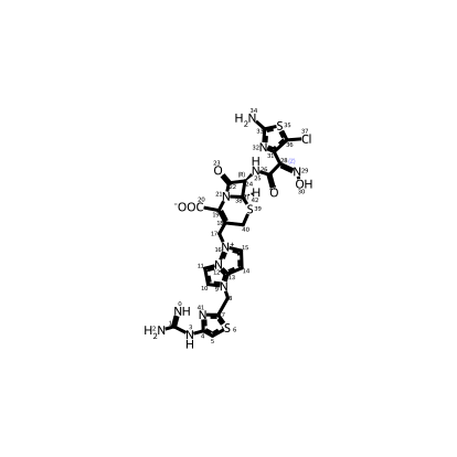 N=C(N)Nc1csc(Cn2ccn3c2cc[n+]3CC2=C(C(=O)[O-])N3C(=O)[C@@H](NC(=O)/C(=N\O)c4nc(N)sc4Cl)[C@H]3SC2)n1